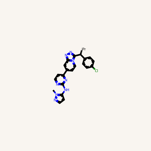 CC(C)C(c1ccc(Cl)cc1)c1nnc2cc(-c3ccnc(Nc4ccnn4C)n3)ccn12